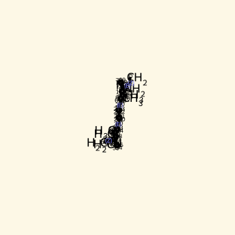 C=C/C=C\C=C(/N)N(c1ccc2c(c1)C(C)(C)c1cc(/C=C/c3ccc(-c4ccc(/C=C/c5ccc6c(c5)C(C)(C)c5cc(N(C(=C)/C=C\C=C)c7ccccn7)ccc5-6)cc4)cc3)ccc1-2)c1ccccn1